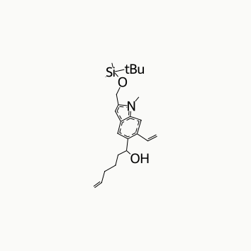 C=CCCCC(O)c1cc2cc(CO[Si](C)(C)C(C)(C)C)n(C)c2cc1C=C